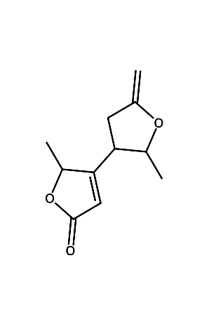 C=C1CC(C2=CC(=O)OC2C)C(C)O1